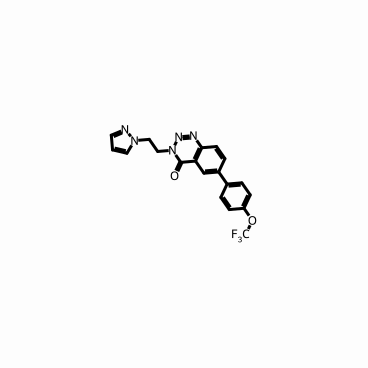 O=c1c2cc(-c3ccc(OC(F)(F)F)cc3)ccc2nnn1CCn1cccn1